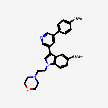 COc1ccc(-c2cncc(-c3cn(CCN4CCOCC4)c4ccc(OC)cc34)c2)cc1